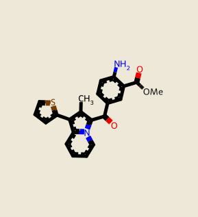 COC(=O)c1cc(C(=O)c2c(C)c(-c3cccs3)c3ccccn23)ccc1N